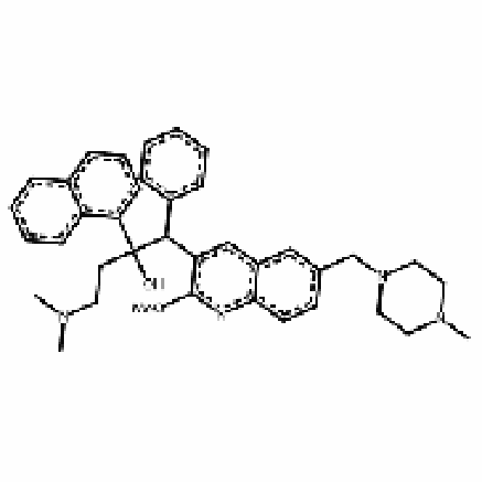 COc1nc2ccc(CN3CCN(C)CC3)cc2cc1C(c1ccccc1)C(O)(CCN(C)C)c1cccc2ccccc12